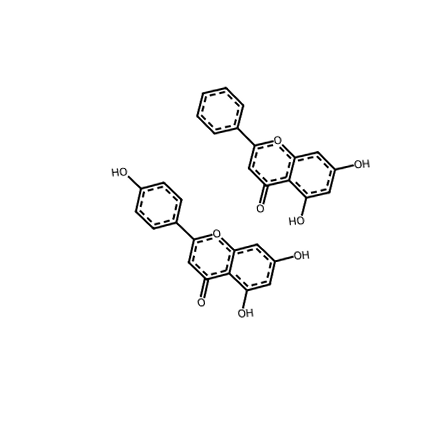 O=c1cc(-c2ccc(O)cc2)oc2cc(O)cc(O)c12.O=c1cc(-c2ccccc2)oc2cc(O)cc(O)c12